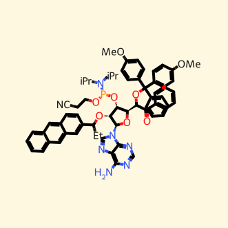 CCC(O[C@@H]1[C@H](OP(OCCC#N)N(C(C)C)C(C)C)[C@@H](C(OC(c2ccccc2)(c2ccc(OC)cc2)c2ccc(OC)cc2)C(=O)c2ccccc2)O[C@H]1n1cnc2c(N)ncnc21)c1ccc2cc3ccccc3cc2c1